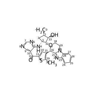 [CH2][C@@H]1C[C@@H](Nc2ncncc2C(=O)c2cc([C@H]3OCCn4c3nc3ccccc34)c(C)s2)C[C@@H]1O